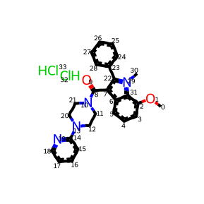 COc1cccc2c(C(=O)N3CCN(c4ccccn4)CC3)c(-c3ccccc3)n(C)c12.Cl.Cl